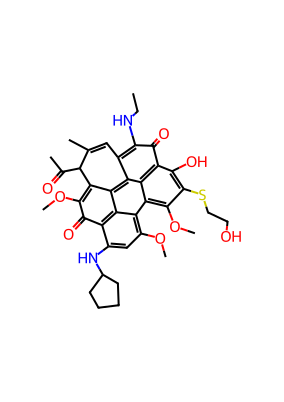 CCNc1c2c3c4c(c(OC)c(=O)c5c(NC6CCCC6)cc(OC)c(c6c(OC)c(SCCO)c(O)c(c1=O)c36)c54)C(C(C)=O)C(C)=C2